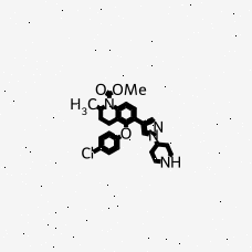 COC(=O)N1c2ccc(-c3cnn(C4CCNCC4)c3)c(Oc3ccc(Cl)cc3)c2CCC1C